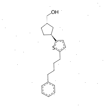 OC[C@H]1CC[C@H](c2ccc(CCCCc3ccccc3)s2)C1